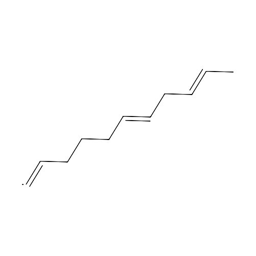 [CH]=CCCCC=CCC=CC